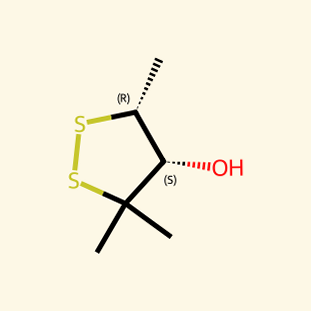 C[C@H]1SSC(C)(C)[C@H]1O